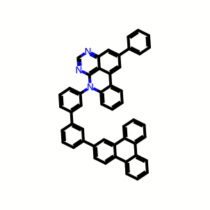 c1ccc(-c2cc3c4c(ncnc4c2)N(c2cccc(-c4cccc(-c5ccc6c7ccccc7c7ccccc7c6c5)c4)c2)c2ccccc2-3)cc1